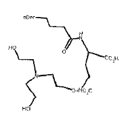 CCCCCCCCCCCCCC(=O)NC(CCC(=O)O)C(=O)O.OCCN(CCO)CCO